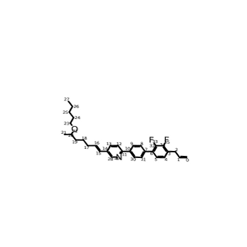 C=CCc1ccc(-c2ccc(-c3ccc(C=CCCCC(C)OCCCCC)cn3)cc2)c(F)c1F